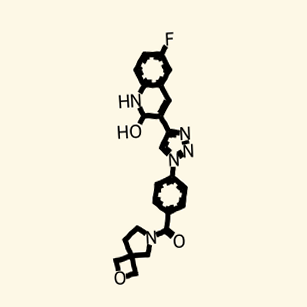 O=C(c1ccc(-n2cc(C3=Cc4cc(F)ccc4NC3O)nn2)cc1)N1CCC2(COC2)C1